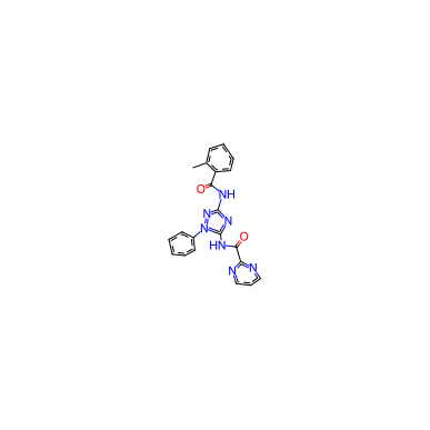 Cc1ccccc1C(=O)Nc1nc(NC(=O)c2ncccn2)n(-c2ccccc2)n1